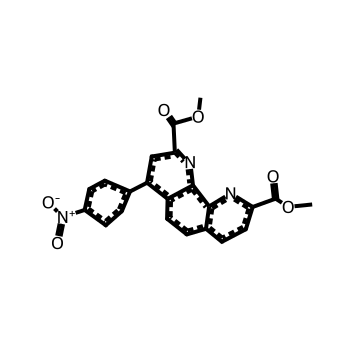 COC(=O)c1ccc2ccc3c(-c4ccc([N+](=O)[O-])cc4)cc(C(=O)OC)nc3c2n1